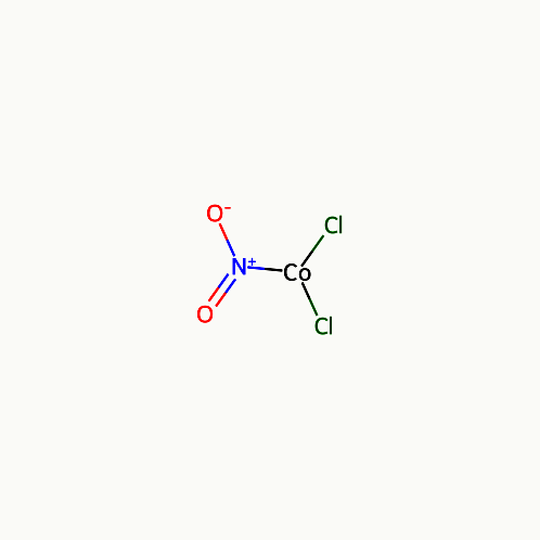 O=[N+]([O-])[Co]([Cl])[Cl]